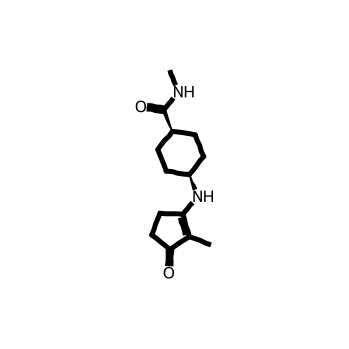 CNC(=O)[C@H]1CC[C@@H](NC2=C(C)C(=O)CC2)CC1